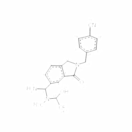 CN(C(N)c1ccc2c(c1)C(=O)N(Cc1ccc(C#N)cc1)C2)C(O)C(F)(F)F